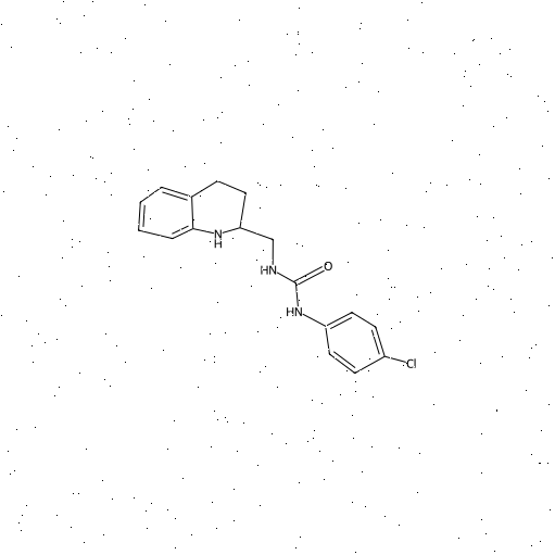 O=C(NCC1CCc2ccccc2N1)Nc1ccc(Cl)cc1